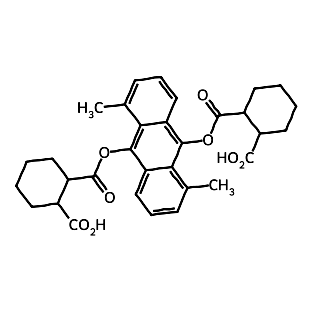 Cc1cccc2c(OC(=O)C3CCCCC3C(=O)O)c3c(C)cccc3c(OC(=O)C3CCCCC3C(=O)O)c12